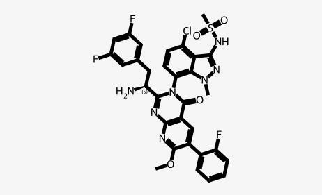 COc1nc2nc([C@@H](N)Cc3cc(F)cc(F)c3)n(-c3ccc(Cl)c4c(NS(C)(=O)=O)nn(C)c34)c(=O)c2cc1-c1ccccc1F